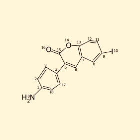 Nc1ccc(-c2cc3cc(I)ccc3oc2=O)cc1